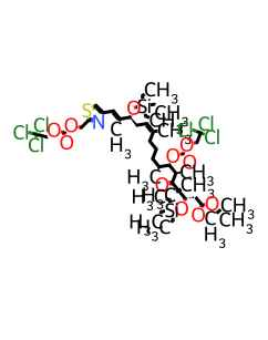 CC[Si](CC)(CC)O[C@@H](C/C=C(/C)CCC[C@H](C)[C@H](OC(=O)OCC(Cl)(Cl)Cl)[C@@H](C)C(=O)C(C)(C)[C@H](CC(=O)OC(C)(C)C)O[Si](CC)(CC)CC)/C(C)=C/c1csc(COC(=O)OCC(Cl)(Cl)Cl)n1